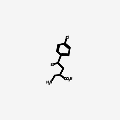 CCC(CC(CN)C(=O)O)c1ccc(Cl)cc1